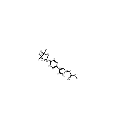 COC(=O)Cn1cc(-c2ccc(B3OC(C)(C)C(C)(C)O3)cc2)cn1